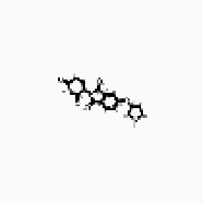 O=C1CCC(N2C(=O)c3ccc(OC4CCNC4)cc3C2=O)C(=O)N1